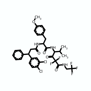 COc1ccc(CC(NC(=O)CC(c2ccccc2)c2ccc(Cl)c(Cl)c2)C(=O)NC(C(=O)C(F)(F)C(=O)NCC(F)(F)F)C(C)C)cc1